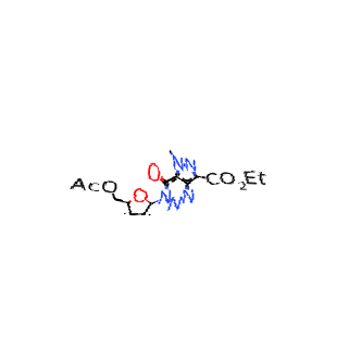 CCOC(=O)c1nn(C)c2c(=O)n(C3[CH][CH]C(COC(C)=O)O3)nnc12